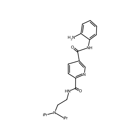 CC(C)N(CCNC(=O)c1ccc(C(=O)Nc2ccccc2N)cn1)C(C)C